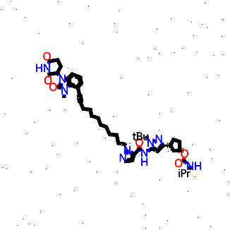 CC(C)NC(=O)O[C@@H]1CC[C@H](c2cc(NC(=O)c3ccnn3CCCCCCCCCCC#Cc3cccc4c3n(C)c(=O)n4C3CCC(=O)NC3=O)n(C(C)(C)C)n2)C1